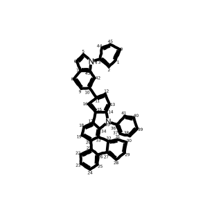 c1ccc(-n2ccc3ccc(-c4ccc5c(c4)c4ccc6c7ccccc7c7ccccc7c6c4n5-c4ccccc4)cc32)cc1